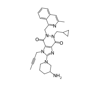 CC#CCn1c(N2CCCC(N)C2)nc2c(=O)n(CC3CC3)n(Cc3nc(C)cc4ccccc34)c(=O)c21